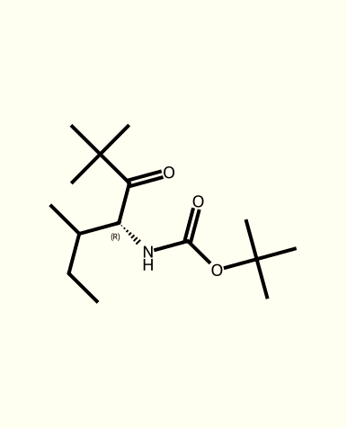 CCC(C)[C@@H](NC(=O)OC(C)(C)C)C(=O)C(C)(C)C